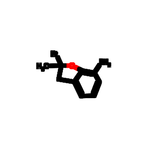 Bc1cccc2c1OC(C)(CC)C2